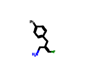 CC(C)c1ccc(C/C(=C\F)CN)cc1